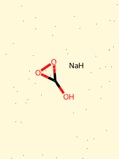 OC1OO1.[NaH]